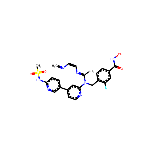 C=N/C=C\N=C(/C)N(Cc1ccc(C(=O)NO)cc1F)c1cc(-c2ccc(NS(C)(=O)=O)nc2)ccn1